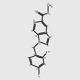 COC(=O)c1cc2ncn(Cc3ccc(F)cc3F)c2cn1